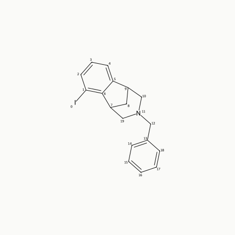 Ic1cccc2c1C1CC2CN(Cc2ccccc2)C1